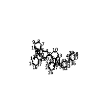 C1=CC(c2cc3c4ccccc4n4c5ccccc5c(c2)c34)=C2c3ccccc3N(c3cccc(-c4ccccc4)c3)C2C1